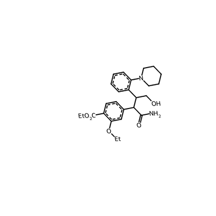 CCOC(=O)c1ccc(C(C(N)=O)C(CO)c2ccccc2N2CCCCC2)cc1OCC